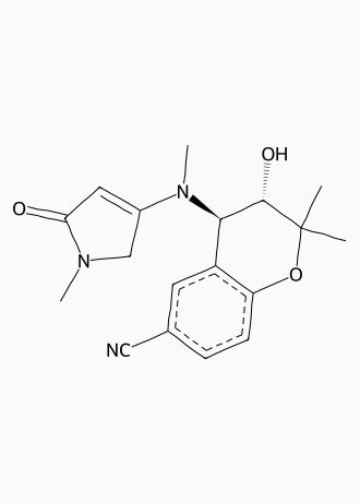 CN1CC(N(C)[C@@H]2c3cc(C#N)ccc3OC(C)(C)[C@H]2O)=CC1=O